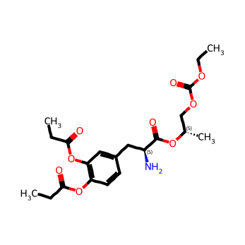 CCOC(=O)OC[C@H](C)OC(=O)[C@@H](N)Cc1ccc(OC(=O)CC)c(OC(=O)CC)c1